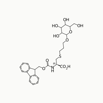 O=C(N[C@@H](CSCCCOC1OC(CO)C(O)C(O)C1O)C(=O)O)OCC1c2ccccc2-c2ccccc21